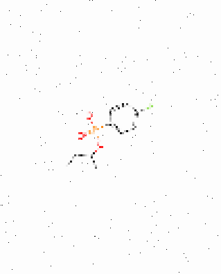 CCC(C)OP(=O)(O)c1ccc(F)cc1